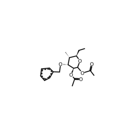 CC[C@H]1OC(OC(C)=O)[C@@H](OC(C)=O)[C@H](OCc2ccccc2)[C@@H]1C